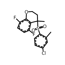 Cc1cc(Cl)ccc1S(=O)(=O)C1(C)CCOc2c(F)ccc(F)c21